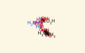 C[C@]12C=CC(=O)C=C1[C@@H](F)C[C@@H]1[C@@H]2[C@@H](O)C[C@@]2(C)[C@H]1C[C@H]1CN(c3ccc(OC45CC(NC(=O)OCc6ccc(O[C@@H]7O[C@H](C(=O)O)[C@@H](O)[C@H](O)[C@H]7O)c(NC(=O)CCNC(=O)CON)c6)(C4)C5)cc3)C[C@]12C(=O)CO